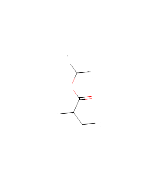 CC(C)C(CC(C)(C)C)C(=O)OC(C(F)(F)F)C(F)(F)F